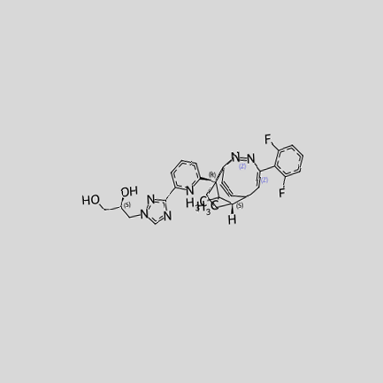 CC1(C)[C@H]2CC[C@]1(c1cccc(-c3ncn(C[C@H](O)CO)n3)n1)C1C#CC2/C=C(c2c(F)cccc2F)\N=N/1